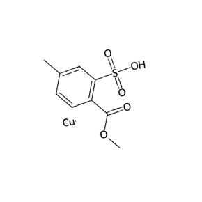 COC(=O)c1ccc(C)cc1S(=O)(=O)O.[Cu]